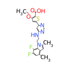 CCOc1cc(-c2cc(NCCn3c(C)cc4c(C)cc(F)c(F)c43)ncn2)sc1C(=O)O